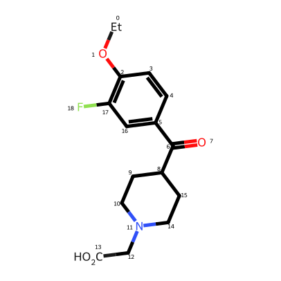 CCOc1ccc(C(=O)C2CCN(CC(=O)O)CC2)cc1F